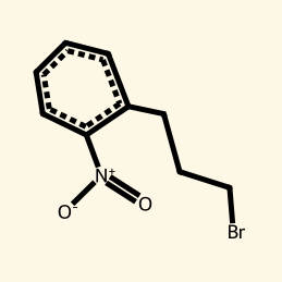 O=[N+]([O-])c1ccccc1CCCBr